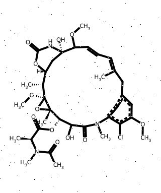 COc1cc2cc(c1Cl)N(C)C(=O)C(O)[C@H](OC(=O)[C@H](C)N(C)C(C)=O)[C@]1(C)O[C@@]1(OC)[C@H](C)[C@@H]1C[C@@](O)(NC(=O)O1)C(OC)/C=C/C=C(\C)C2